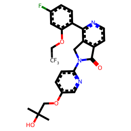 CC(C)(O)COc1ccc(N2Cc3c(ccnc3-c3ccc(F)cc3OCC(F)(F)F)C2=O)nc1